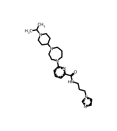 CC(C)N1CCC(N2CCCN(c3cccc(C(=O)NCCCn4ccnc4)n3)CC2)CC1